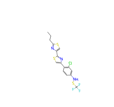 CCCc1nc(-c2nc(-c3ccc(NSC(F)(F)F)cc3Cl)cs2)cs1